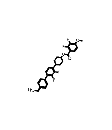 COc1ccc(C(=O)OC2CCC(c3ccc(-c4ccc(CO)cc4)c(F)c3F)CC2)c(F)c1F